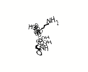 NCCCCOP(=O)(OC[C@H]1O[C@@H](n2ccc(=O)[nH]c2=O)[C@H](O)[C@@H]1O)OP(=O)(O)O